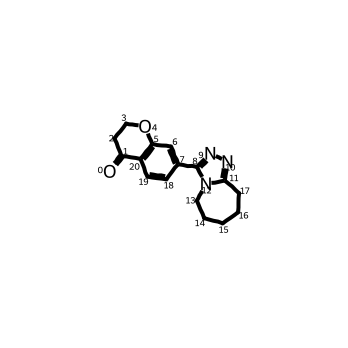 O=C1CCOc2cc(-c3nnc4n3CCCCC4)ccc21